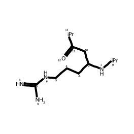 CC(C)NC(CCCNC(=N)N)CC(=O)C(C)C